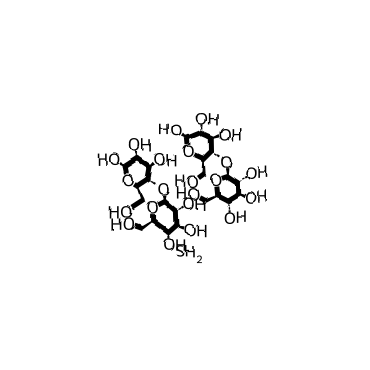 OC[C@H]1O[C@@H](O[C@H]2[C@H](O)[C@@H](O)[C@H](O)O[C@@H]2CO)[C@H](O)[C@@H](O)[C@@H]1O.OC[C@H]1O[C@@H](O[C@H]2[C@H](O)[C@@H](O)[C@H](O)O[C@@H]2CO)[C@H](O)[C@@H](O)[C@@H]1O.S